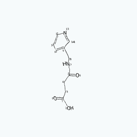 O=C(O)CCC(=O)NCc1cccnc1